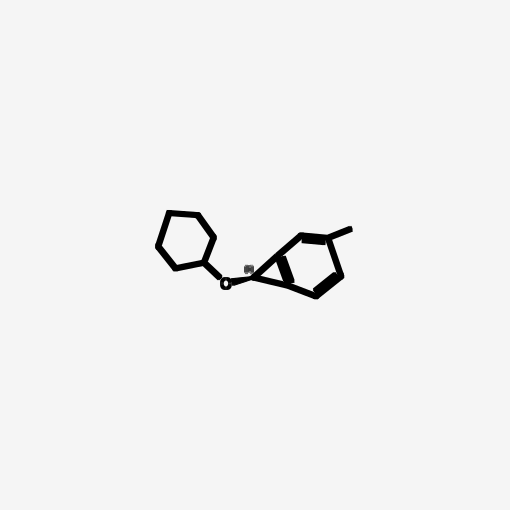 Cc1ccc2c(c1)[C@@H]2OC1CCCCC1